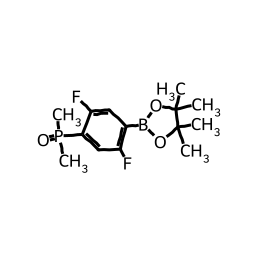 CC1(C)OB(c2cc(F)c(P(C)(C)=O)cc2F)OC1(C)C